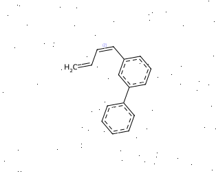 C=C/C=C\c1cccc(-c2ccccc2)c1